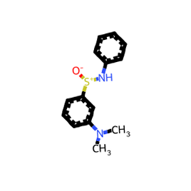 CN(C)c1cccc([S+]([O-])Nc2ccccc2)c1